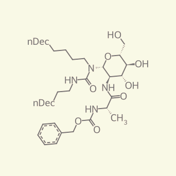 CCCCCCCCCCCCCCN(C(=O)NCCCCCCCCCCCC)[C@@H]1O[C@H](CO)[C@@H](O)[C@H](O)[C@H]1NC(=O)[C@H](C)NC(=O)OCc1ccccc1